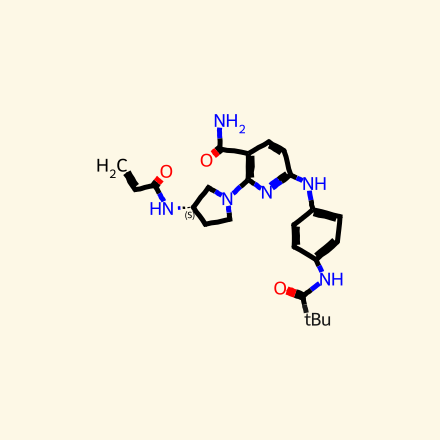 C=CC(=O)N[C@H]1CCN(c2nc(Nc3ccc(NC(=O)C(C)(C)C)cc3)ccc2C(N)=O)C1